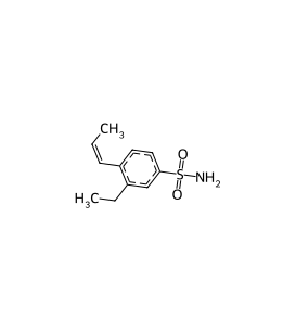 C/C=C\c1ccc(S(N)(=O)=O)cc1CC